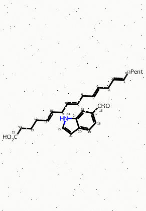 CCCCCC=CCC=CCC=CCC=CCCCC(=O)O.O=Cc1ccc2cc[nH]c2c1